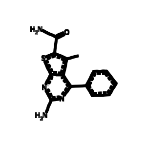 Cc1c(C(N)=O)sc2nc(N)nc(-c3ccccc3)c12